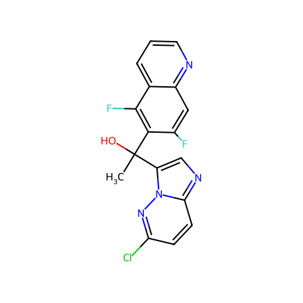 CC(O)(c1c(F)cc2ncccc2c1F)c1cnc2ccc(Cl)nn12